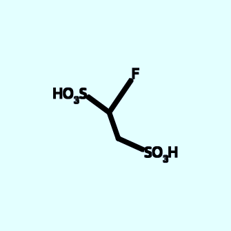 O=S(=O)(O)CC(F)S(=O)(=O)O